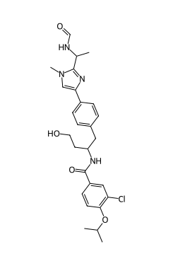 CC(C)Oc1ccc(C(=O)NC(CCO)Cc2ccc(-c3cn(C)c(C(C)NC=O)n3)cc2)cc1Cl